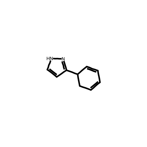 C1=CCC(c2cc[nH]n2)C=C1